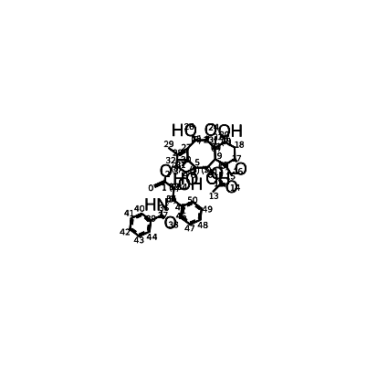 C=C(O[C@H]1C[C@@]2(O)[C@@H](O)C3[C@]4(OC(C)=O)COC4C[C@@H](O)[C@@]3(C)C(=O)[C@H](O)C(=C1C)C2(C)C)[C@H](O)[C@@H](NC(=O)c1ccccc1)c1ccccc1